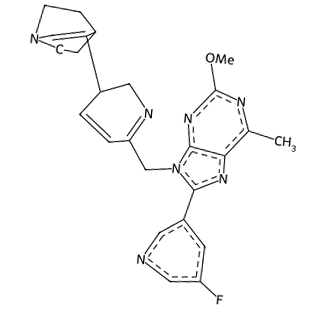 COc1nc(C)c2nc(-c3cncc(F)c3)n(CC3=NCC(C4=CN5CCC4CC5)C=C3)c2n1